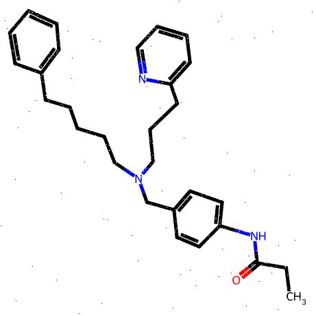 CCC(=O)Nc1ccc(CN(CCCCCc2ccccc2)CCCc2ccccn2)cc1